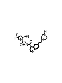 N#CC1CC(F)(F)CN1C(=O)CNC(=O)c1ccnc2ccc(C=CN3CCNCC3)cc12